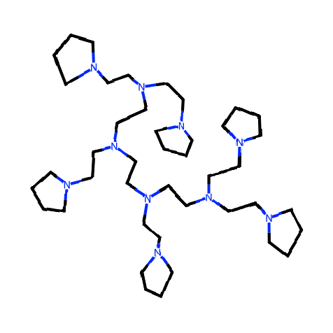 C1CCN(CCN(CCN2CCCC2)CCN(CCN2CCCC2)CCN(CCN2CCCC2)CCN(CCN2CCCC2)CCN2CCCC2)C1